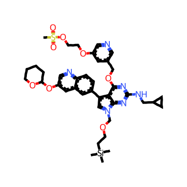 C[Si](C)(C)CCOCn1cc(-c2ccc3ncc(OC4CCCCO4)cc3c2)c2c(OCc3cncc(OCCOS(C)(=O)=O)c3)nc(NCC3CC3)nc21